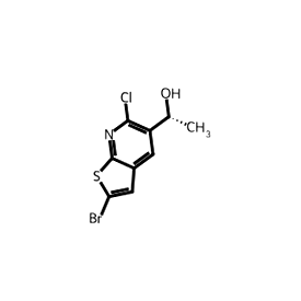 C[C@@H](O)c1cc2cc(Br)sc2nc1Cl